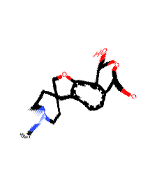 CC(C)(C)N1CCC2(CC1)COc1c2ccc2c1C(O)OC2=O